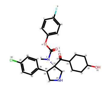 CN(C(=O)Oc1ccc(F)cc1)[C@]1(C(=O)C2CCC(O)CC2)CNC[C@H]1c1ccc(Cl)cc1